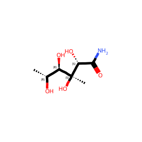 C[C@@H](O)[C@@H](O)[C@](C)(O)[C@H](O)C(N)=O